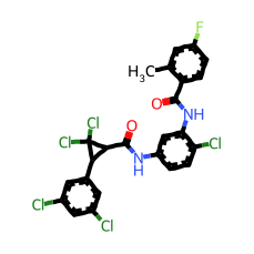 Cc1cc(F)ccc1C(=O)Nc1cc(NC(=O)C2C(c3cc(Cl)cc(Cl)c3)C2(Cl)Cl)ccc1Cl